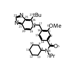 COc1cc(C(=O)N(C(C)C)C2CCCCC2)ccc1Cn1ccc2ncnc-2c1C(C)(C)C